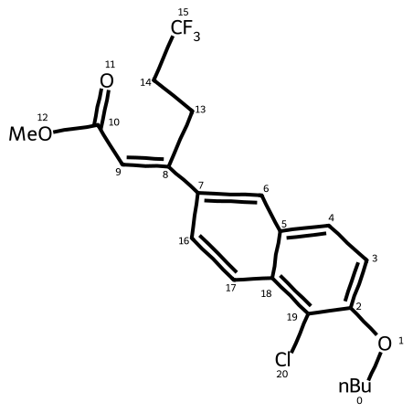 CCCCOc1ccc2cc(/C(=C/C(=O)OC)CCC(F)(F)F)ccc2c1Cl